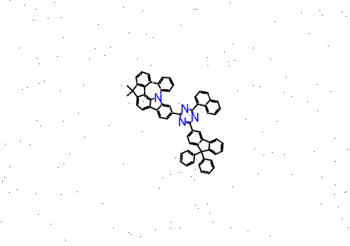 CC1(C)c2cccc3c2-c2c1ccc1c4ccc(-c5nc(-c6ccc7c(c6)-c6ccccc6C7(c6ccccc6)c6ccccc6)nc(-c6cccc7ccccc67)n5)cc4n(c21)-c1ccccc1-3